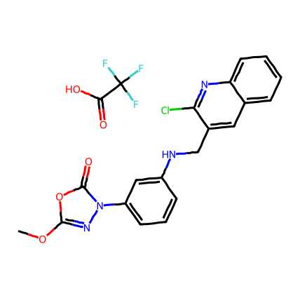 COc1nn(-c2cccc(NCc3cc4ccccc4nc3Cl)c2)c(=O)o1.O=C(O)C(F)(F)F